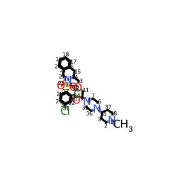 CN1CCC(N2CCN(C(=O)COCC3Cc4ccccc4CN3S(=O)(=O)c3ccc(Cl)cc3Cl)CC2)CC1